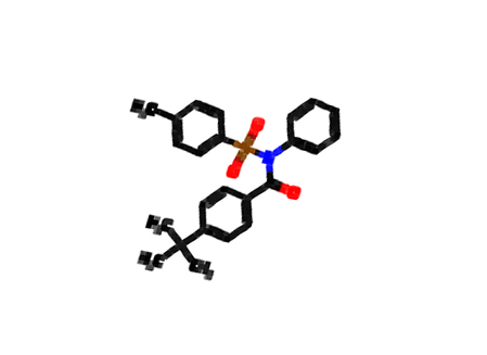 Cc1ccc(S(=O)(=O)N(C(=O)c2ccc(C(C)(C)C)cc2)c2ccccc2)cc1